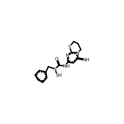 N=c1cc(NC(=O)N(S)Cc2ccccc2)nc2n1CCCS2